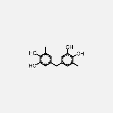 Cc1cc(Cc2cc(C)c(O)c(O)c2)cc(O)c1O